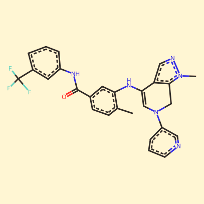 Cc1ccc(C(=O)Nc2cccc(C(F)(F)F)c2)cc1NC1=CN(c2cccnc2)Cc2c1cnn2C